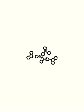 c1ccc(N(c2ccccc2)c2ccc3c(c2)c2c(c4ccccc4n2-c2ccc(-c4cc5ccccc5c5ccccc45)cc2)n3-c2ccc(-c3cc4ccccc4c4ccccc34)cc2)cc1